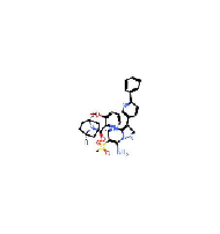 CS(=O)(=O)c1c([C@@H]2C[C@H]3CC[C@@H](C2)N3C(=O)c2ncccc2O)nc2c(-c3ccc(-c4ccccc4)nc3)cnn2c1N